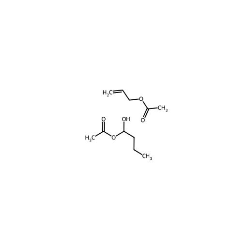 C=CCOC(C)=O.CCCC(O)OC(C)=O